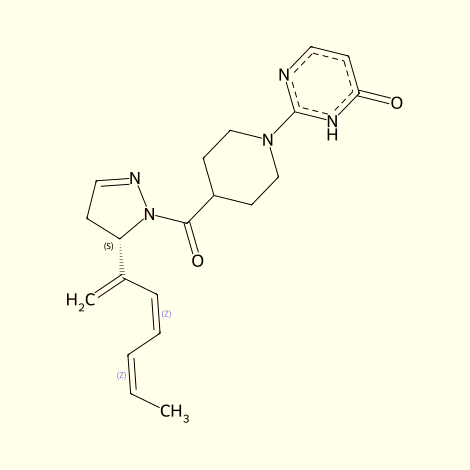 C=C(/C=C\C=C/C)[C@@H]1CC=NN1C(=O)C1CCN(c2nccc(=O)[nH]2)CC1